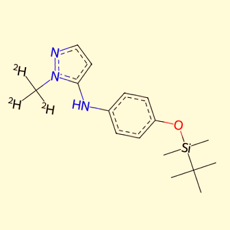 [2H]C([2H])([2H])n1nccc1Nc1ccc(O[Si](C)(C)C(C)(C)C)cc1